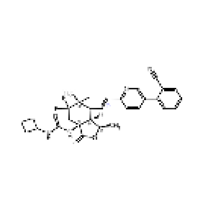 C[C@H]1OC(=O)[C@]2(NC(=O)NC3CCC3)CC(F)(F)[C@]3(C)CC3(/C=C/c3ccc(-c4ccccc4C#N)cn3)[C@H]12